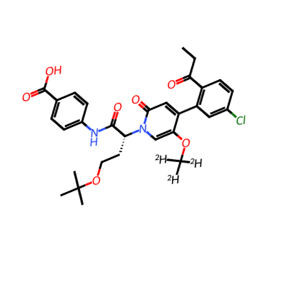 [2H]C([2H])([2H])Oc1cn([C@H](CCOC(C)(C)C)C(=O)Nc2ccc(C(=O)O)cc2)c(=O)cc1-c1cc(Cl)ccc1C(=O)CC